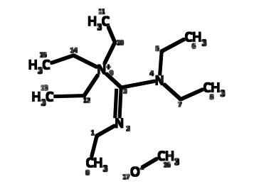 CCN=C(N(CC)CC)[N+](CC)(CC)CC.C[O-]